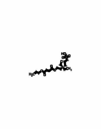 C=CCOC(=O)C=CC(=O)OCC[N+](CC)(CC)CCCS(=O)(=O)O